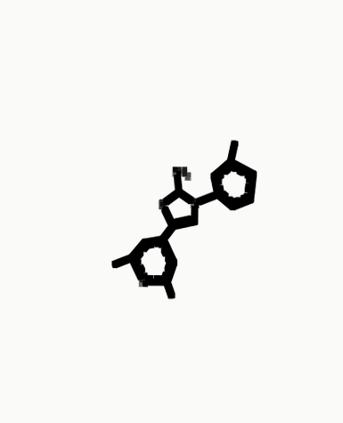 Cc1cccc(N2C=C(c3cc(C)nc(C)c3)SC2N)c1